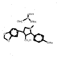 CCCCCCN(C=O)CCCCCC.COc1ccc(C2C(C(=O)O)C(c3ccc4c(c3)OCO4)CN2C)cc1